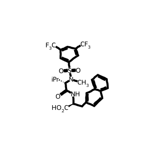 CC(C)[C@@H](C(=O)N[C@@H](Cc1ccc2ccccc2c1)C(=O)O)N(C)S(=O)(=O)c1cc(C(F)(F)F)cc(C(F)(F)F)c1